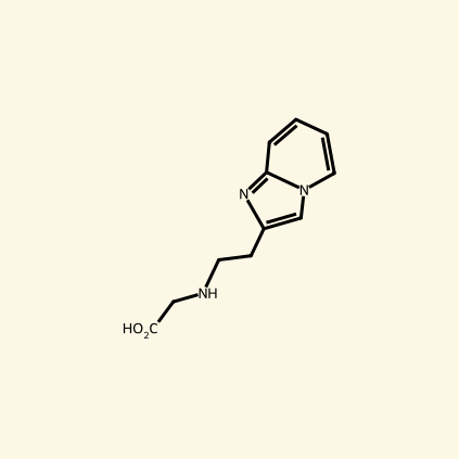 O=C(O)CNCCc1cn2ccccc2n1